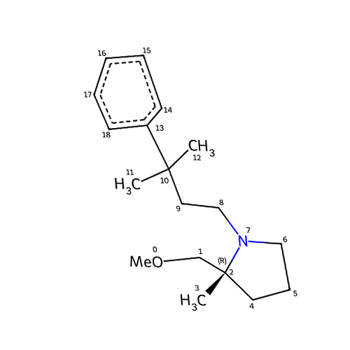 COC[C@@]1(C)CCCN1CCC(C)(C)c1ccccc1